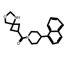 O=C(C1CC2(COCN2)C1)N1CCC(c2cccc3ccccc23)CC1